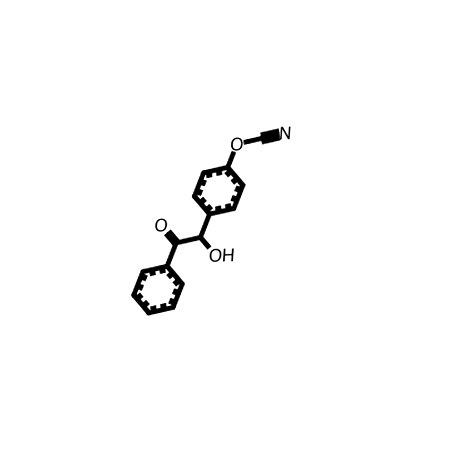 N#COc1ccc(C(O)C(=O)c2ccccc2)cc1